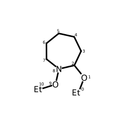 CCOC1CCCCCN1OCC